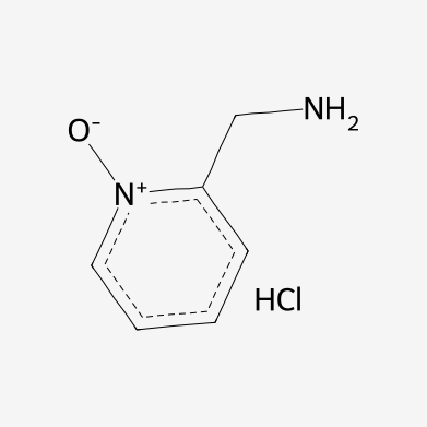 Cl.NCc1cccc[n+]1[O-]